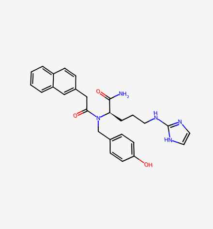 NC(=O)[C@@H](CCCNc1ncc[nH]1)N(Cc1ccc(O)cc1)C(=O)Cc1ccc2ccccc2c1